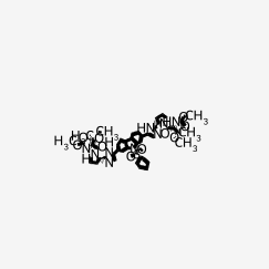 COC(=O)N[C@@H](C(=O)N1CCC[C@@H]1c1ncc(-c2ccc3c4ccc(-c5cnc([C@H]6CCCN6C(=O)[C@H](NC(=O)OC)[C@H](C)OC)[nH]5)cc4n(S(=O)(=O)c4ccccc4)c3c2)[nH]1)[C@H](C)OC